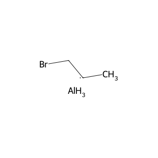 C[CH]CBr.[AlH3]